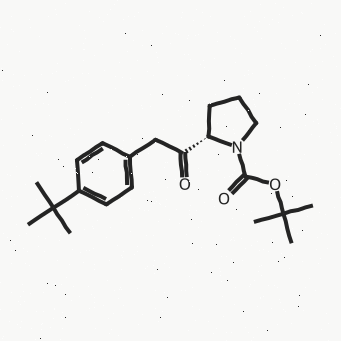 CC(C)(C)OC(=O)N1CCC[C@H]1C(=O)Cc1ccc(C(C)(C)C)cc1